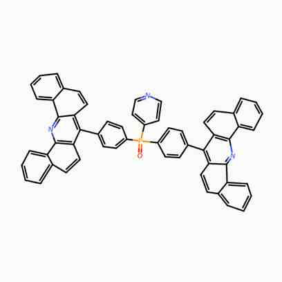 O=P(c1ccncc1)(c1ccc(-c2c3ccc4ccccc4c3nc3c2ccc2ccccc23)cc1)c1ccc(-c2c3ccc4ccccc4c3nc3c2ccc2ccccc23)cc1